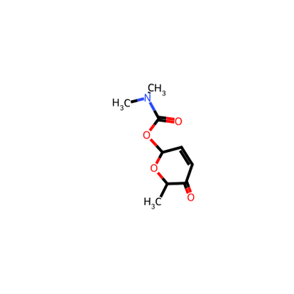 CC1OC(OC(=O)N(C)C)C=CC1=O